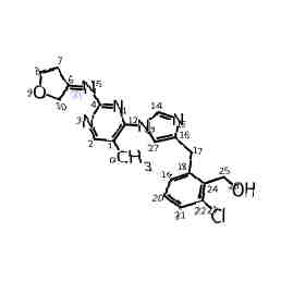 Cc1cnc(/N=C2/CCOC2)nc1-n1cnc(Cc2cccc(Cl)c2CO)c1